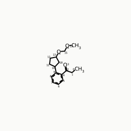 CCC(=O)c1ccccc1C1CCC(OCOC)C1